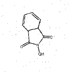 O=C1C2C=CC=CC2C(=O)N1O